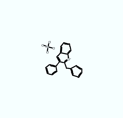 [Cl][Fe-]([Cl])([Cl])[Cl].c1ccc(Cc2[o+]c3ccccc3cc2-c2ccccc2)cc1